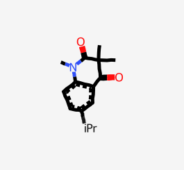 CC(C)c1ccc2c(c1)C(=O)C(C)(C)C(=O)N2C